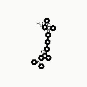 CC12C=CC=C(N(c3ccccc3)c3ccc(-c4ccc(-c5ccc6c(c5)oc5c7ccc(N(c8ccccc8)c8ccccc8)cc7c7ccccc7c65)cc4)cc3)C1Oc1ccccc12